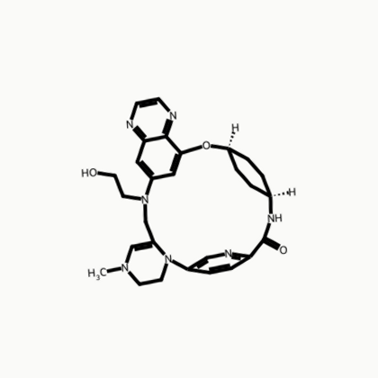 CN1C=C2CN(CCO)c3cc(c4nccnc4c3)O[C@H]3CC[C@H](CC3)NC(=O)c3ccc(cn3)N2CC1